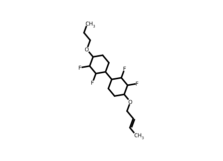 CC=CCOC1CCC(C2CCC(OCCC)C(F)C2F)C(F)C1F